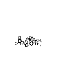 CC(C)N(C)[C@@H]1CC[C@H](N2CC[C@H](NC(=O)c3cc(Cl)cc(Cl)c3)C2=O)[C@H](CS(C)(=O)=O)C1